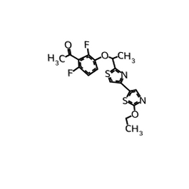 CCOc1ncc(-c2csc(C(C)Oc3ccc(F)c(C(C)=O)c3F)n2)s1